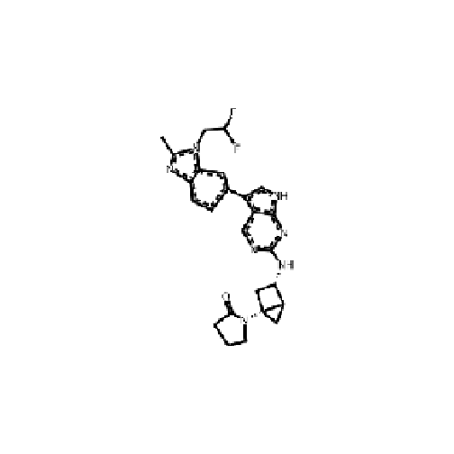 Cc1nc2ccc(-c3c[nH]c4nc(N[C@H]5C[C@]6(N7CCCC7=O)CC56)ncc34)cc2n1CC(F)F